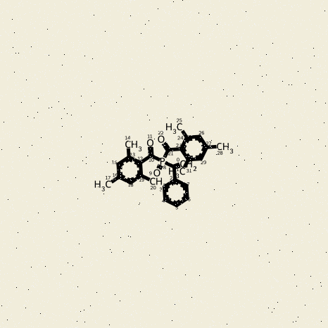 C=C(c1ccccc1)P(=O)(C(=O)c1c(C)cc(C)cc1C)C(=O)c1c(C)cc(C)cc1C